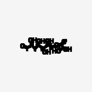 O=CN(O)C[C@H](O)[C@H](O)[C@H](O)COP(=O)(O)O